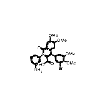 COC(=O)c1c(-c2cc(Br)c(OC)c(OC)c2)c2cc(OC)c(OC)cc2c(=O)n1-c1cccc(N)c1